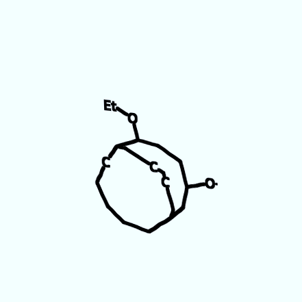 [CH2]COC1CCC([O])CC2CCCCCC1CCCCC2